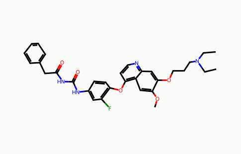 CCN(CC)CCCOc1cc2nccc(Oc3ccc(NC(=O)NC(=O)Cc4ccccc4)cc3F)c2cc1OC